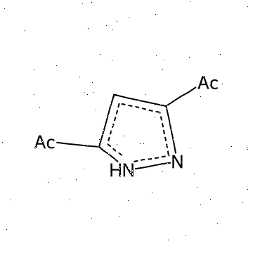 CC(=O)c1cc(C(C)=O)[nH]n1